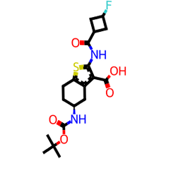 CC(C)(C)OC(=O)N[C@H]1CCc2sc(NC(=O)C3CC(F)C3)c(C(=O)O)c2C1